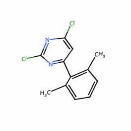 Cc1cccc(C)c1-c1cc(Cl)nc(Cl)n1